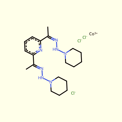 CC(=NNN1CCCCC1)c1cccc(C(C)=NNN2CCCCC2)n1.[Cl-].[Cl-].[Cl-].[Co+3]